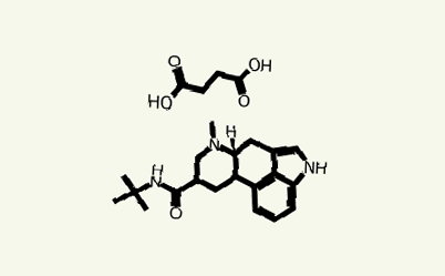 CN1CC(C(=O)NC(C)(C)C)CC2c3cccc4[nH]cc(c34)C[C@H]21.O=C(O)CCC(=O)O